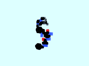 CC1CN(Cc2ccc3[nH]c(-c4cc(NC(=O)c5cnn(CC6=CCCC=C6)c5)c[nH]c4=O)cc3c2)CCN1C